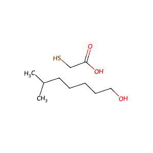 CC(C)CCCCCO.O=C(O)CS